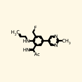 C=CCNc1c(CF)cc(-c2cnc(C)nc2)cc1C(=N)C(C)=O